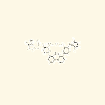 COc1nc(-c2cccc(-c3cccc(-c4cnc(Cn5c(C)ccc5C)c(OC)n4)c3Cl)c2Cl)cnc1CN(C[C@@H]1CCC(=O)N1)C(=O)O